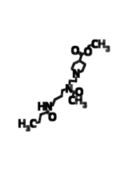 CCCC(=O)NCCCCN(CCN1CCC(C(=O)OCC)CC1)C(C)=O